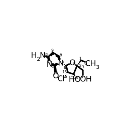 CC[C@]1(CO)O[C@@H](n2ccc(N)nc2=O)[C@@H](Cl)[C@@H]1O